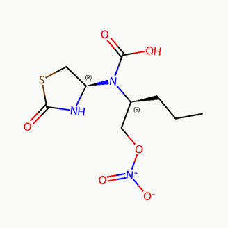 CCC[C@@H](CO[N+](=O)[O-])N(C(=O)O)[C@@H]1CSC(=O)N1